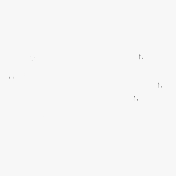 Cc1ccc(C(=O)O)cc1C#Cc1cnc2nccnc2c1